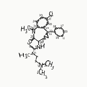 CN(C)CCN(C)C(=S)NC1N=C(c2ccccc2)c2cc(Cl)ccc2N(C)C1=O